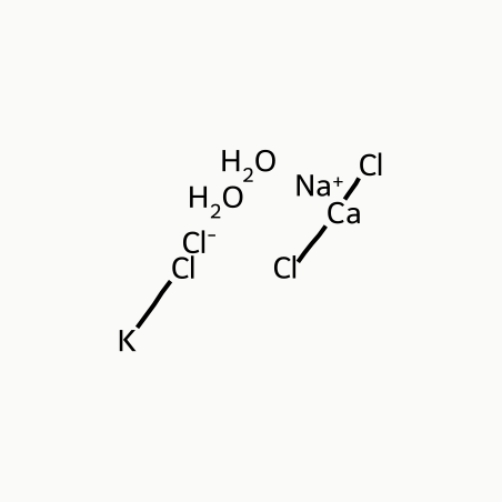 O.O.[Cl-].[Cl][Ca][Cl].[Cl][K].[Na+]